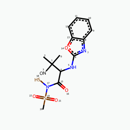 CC(C)(N=O)C(Nc1nc2ccccc2o1)C(=O)N(S)S(C)(=O)=O